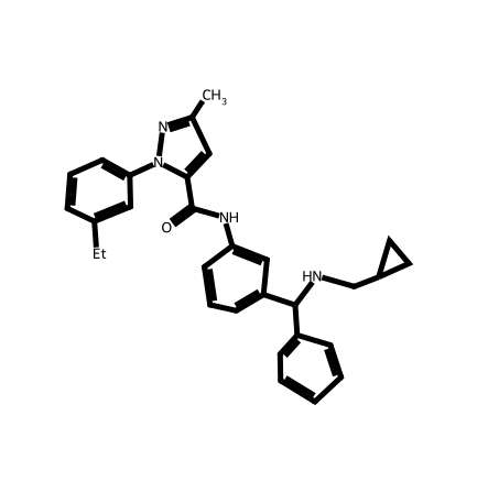 CCc1cccc(-n2nc(C)cc2C(=O)Nc2cccc(C(NCC3CC3)c3ccccc3)c2)c1